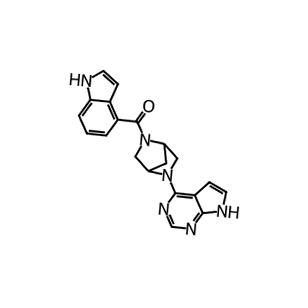 O=C(c1cccc2[nH]ccc12)N1CC2CC1CN2c1ncnc2[nH]ccc12